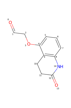 O=CCOc1cccc2c1CCC(=O)N2